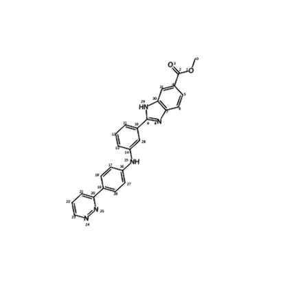 COC(=O)c1ccc2nc(-c3cccc(Nc4ccc(-c5cccnn5)cc4)c3)[nH]c2c1